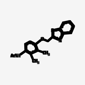 CC(=O)Nc1ccc(OCc2nc3ccccc3s2)c(C)c1C